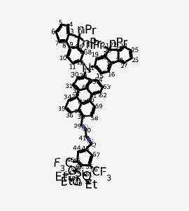 CCCC1(CCC)c2ccccc2-c2ccc(N(c3ccc4c(c3)C(CCC)(CCC)c3ccccc3-4)c3ccc4c5cccc6c(/C=C/C=C/c7cc(C(F)(F)F)c([Si](OCC)(OCC)OCC)c(C(F)(F)F)c7)ccc(c7cccc3c74)c65)cc21